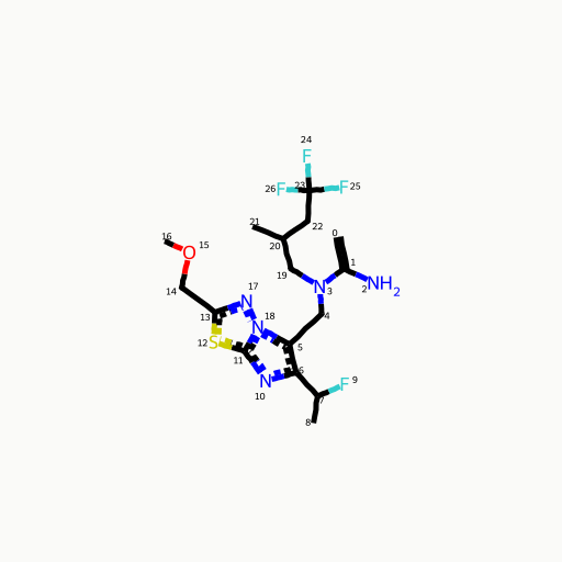 C=C(N)N(Cc1c(C(C)F)nc2sc(COC)nn12)CC(C)CC(F)(F)F